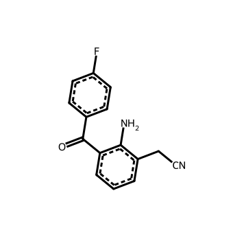 N#CCc1cccc(C(=O)c2ccc(F)cc2)c1N